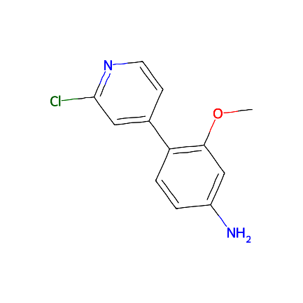 COc1cc(N)ccc1-c1ccnc(Cl)c1